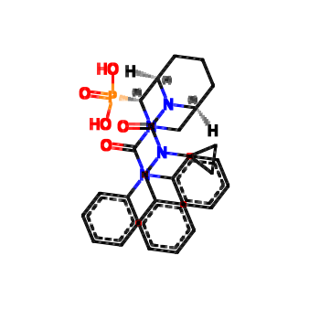 O=C(N(c1ccccc1)c1ccccc1)N1C[C@@H]2CCC[C@H]([C@H]1P(=O)(O)O)N2C(=O)N(Cc1ccccc1)C1CC1